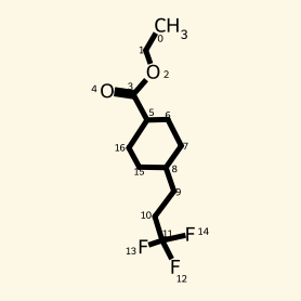 CCOC(=O)C1CCC(CCC(F)(F)F)CC1